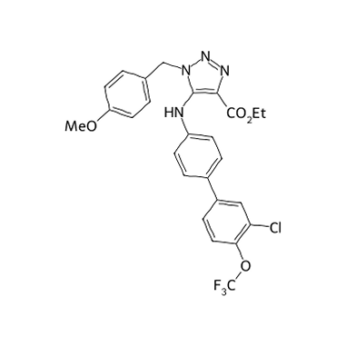 CCOC(=O)c1nnn(Cc2ccc(OC)cc2)c1Nc1ccc(-c2ccc(OC(F)(F)F)c(Cl)c2)cc1